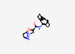 O=C(Nc1c2c(cc3c1CC3)CC2)C1Cn2nccc2O1